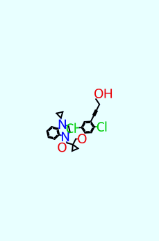 O=C(N1CCN(C2CC2)c2ccccc21)C1(COc2cc(Cl)c(C#CCCO)cc2Cl)CC1